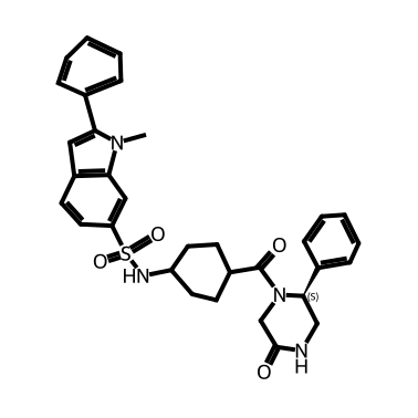 Cn1c(-c2ccccc2)cc2ccc(S(=O)(=O)NC3CCC(C(=O)N4CC(=O)NC[C@@H]4c4ccccc4)CC3)cc21